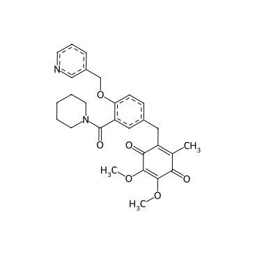 COC1=C(OC)C(=O)C(Cc2ccc(OCc3cccnc3)c(C(=O)N3CCCCC3)c2)=C(C)C1=O